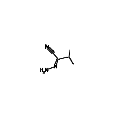 CC(C)/C(C#N)=N/N